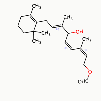 CC1=C(C/C=C(\C)C(O)/C=C\C(C)=C/COC=O)C(C)(C)CCC1